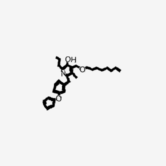 CCCCCCCCOCc1c(C)c(Cc2cccc(Oc3ccccc3)c2)nc(CCC)c1O